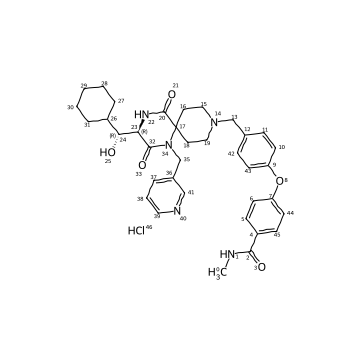 CNC(=O)c1ccc(Oc2ccc(CN3CCC4(CC3)C(=O)N[C@H]([C@H](O)C3CCCCC3)C(=O)N4Cc3cccnc3)cc2)cc1.Cl